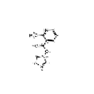 Cc1ncccc1C(=O)ON1C=NCC1